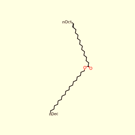 CCCCCCCCC=CCCCCCCCCCCCCCC(=O)OCCCCCCCCCCCCCCCCCCCCCCCCCCCC